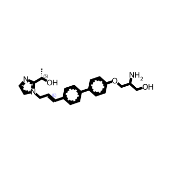 C[C@H](O)c1nccn1C/C=C/c1ccc(-c2ccc(OCC(N)CO)cc2)cc1